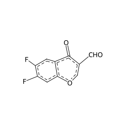 O=Cc1coc2cc(F)c(F)cc2c1=O